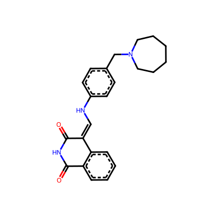 O=C1NC(=O)c2ccccc2/C1=C/Nc1ccc(CN2CCCCCC2)cc1